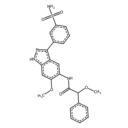 COc1cc2[nH]nc(-c3cccc(S(N)(=O)=O)c3)c2cc1NC(=O)C(OC)c1ccccc1